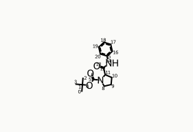 CC(C)(C)OC(=O)N1CCCC1C(=O)Nc1ccccc1